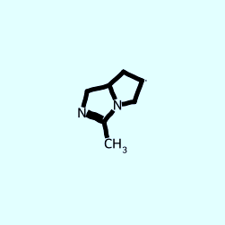 CC1=NCC2C[CH]CN12